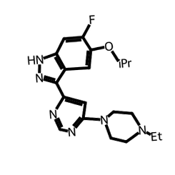 CCN1CCN(c2cc(-c3n[nH]c4cc(F)c(OC(C)C)cc34)ncn2)CC1